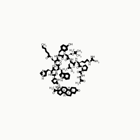 CC(=O)[C@@]1(O)CC[C@H]2[C@@H]3CCC4=CC(=O)CC[C@]4(C)[C@H]3CC[C@@]21C.CCCCCC(=O)OC[C@H](NC(=O)[C@H](Cc1c[nH]c2ccccc12)NC(=O)[C@H](Cc1c[nH]cn1)NC(=O)[C@@H]1CCC(=O)N1)C(=O)N[C@@H](Cc1ccc(O)cc1)C(=O)N[C@H](COC(C)(C)C)C(=O)N[C@@H](CC(C)C)C(=O)N[C@@H](CCCNC(=N)N)C(=O)N1CCC[C@H]1C(=O)NNC(N)=O